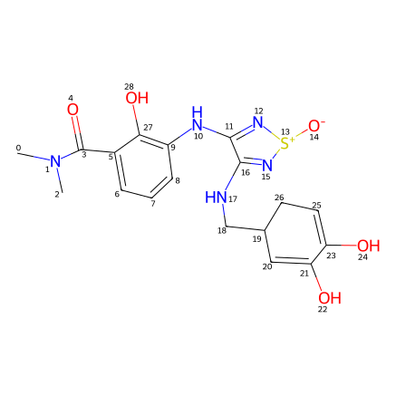 CN(C)C(=O)c1cccc(Nc2n[s+]([O-])nc2NCC2C=C(O)C(O)=CC2)c1O